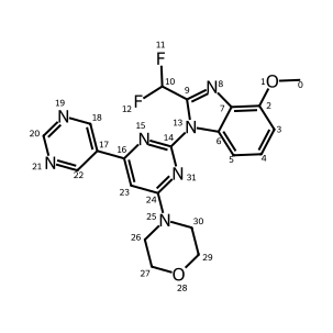 COc1cccc2c1nc(C(F)F)n2-c1nc(-c2cncnc2)cc(N2CCOCC2)n1